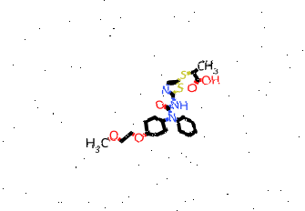 COCCOC1CCC(N(C(=O)Nc2ncc(SC(C)C(=O)O)s2)C2CCCCC2)CC1